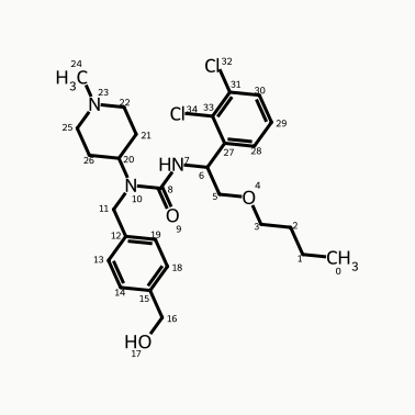 CCCCOCC(NC(=O)N(Cc1ccc(CO)cc1)C1CCN(C)CC1)c1cccc(Cl)c1Cl